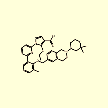 CCOc1c(C(=O)O)cnn1-c1cccc(-c2cccc(C)c2OCc2ccc3c(c2)CCN(C2CCOC(C)(C)C2)C3)n1